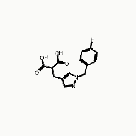 O=C(O)C(Cc1cnn(Cc2ccc(F)cc2)c1)C(=O)O